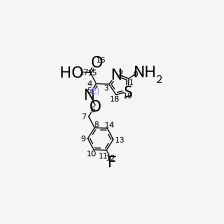 Nc1nc(/C(=N\OCc2ccc(F)cc2)C(=O)O)cs1